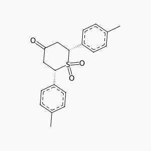 Cc1ccc([C@H]2CC(=O)C[C@@H](c3ccc(C)cc3)S2(=O)=O)cc1